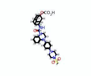 CS(=O)(=O)N1CCN(c2ccc(N3CCN(C(=O)NC4C5CC6CC4CC(OC(=O)O)(C6)C5)c4ccccc43)cc2)CC1